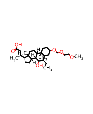 CC[C@@H]1C2C[C@H](OCOCCOC)CCC2(C)[C@H]2CCC3(C)[C@@H]([C@H](C)CC(=O)O)CC[C@H]3[C@@H]2[C@@H]1O